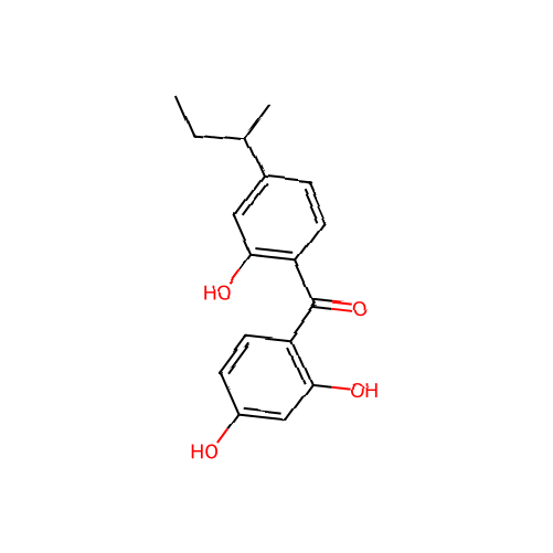 CCC(C)c1ccc(C(=O)c2ccc(O)cc2O)c(O)c1